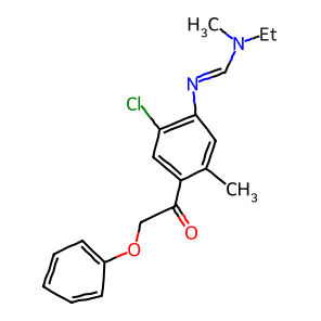 CCN(C)C=Nc1cc(C)c(C(=O)COc2ccccc2)cc1Cl